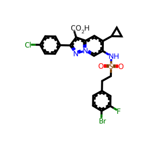 O=C(O)c1c(-c2ccc(Cl)cc2)nn2cc(NS(=O)(=O)CCc3ccc(Br)c(F)c3)c(C3CC3)cc12